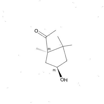 CC(=O)[C@]1(C)C[C@H](O)CC1(C)C